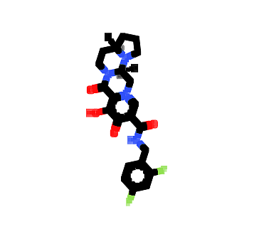 O=C(NCc1ccc(F)cc1F)c1cn2c(c(O)c1=O)C(=O)N1CC[C@@H]3CCCN3[C@H]1C2